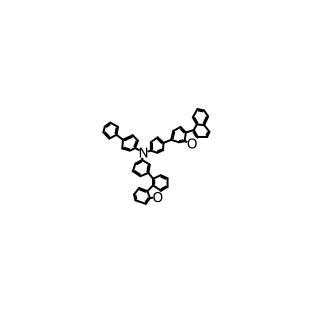 c1ccc(-c2ccc(N(c3ccc(-c4ccc5c(c4)oc4ccc6ccccc6c45)cc3)c3cccc(-c4cccc5oc6ccccc6c45)c3)cc2)cc1